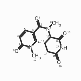 CN(C(=O)c1ccc(=O)n(C)c1)C1CCC(=O)NC1=O